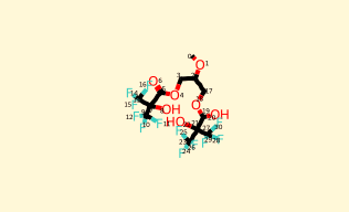 COC(COC(=O)C(O)(C(F)(F)F)C(F)(F)F)COC(O)C(O)(C(F)(F)F)C(F)(F)F